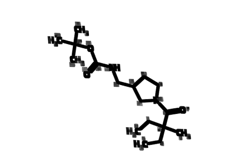 CCC(C)(CC)C(=O)N1CCC(CNC(=O)OC(C)(C)C)C1